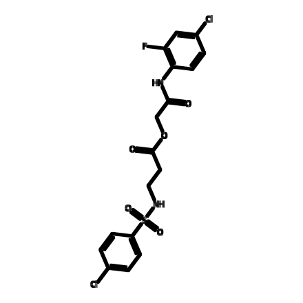 O=C(COC(=O)CCNS(=O)(=O)c1ccc(Cl)cc1)Nc1ccc(Cl)cc1F